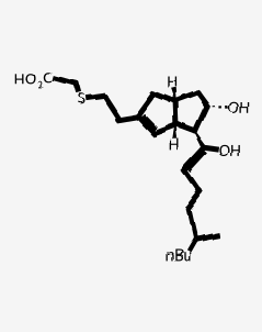 CCCCC(C)CCC=C(O)[C@H]1[C@@H]2C=C(CCSCC(=O)O)C[C@@H]2C[C@@H]1O